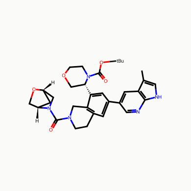 Cc1c[nH]c2ncc(-c3cc4c(c([C@@H]5COCCN5C(=O)OC(C)(C)C)c3)CN(C(=O)N3C[C@@H]5C[C@H]3CO5)CC4)cc12